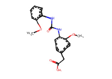 COc1ccccc1NC(=O)Nc1ccc(CC(=O)O)cc1OC